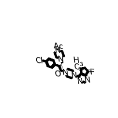 CC(=O)N1CCN(C[C@H](C(=O)N2CCN(c3ncnc4c3[C@H](C)C[C@@H]4F)CC2)c2ccc(Cl)cc2)CC1